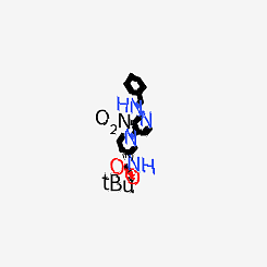 CC(C)(C)OC(=O)N[C@@H]1CCCN(c2ccnc(NCc3ccccc3)c2[N+](=O)[O-])C1